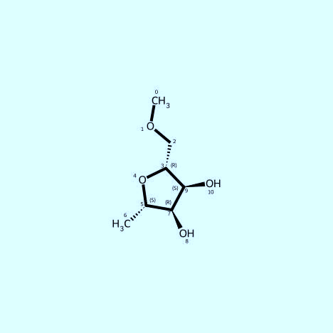 COC[C@H]1O[C@@H](C)[C@H](O)[C@@H]1O